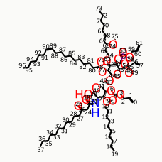 C=CCOC(=O)O[C@H]1[C@H](OCCCCCCCCCC)[C@@H](NC(=O)CC(=O)CCCCCCCCCCC)[C@@H](O)O[C@@H]1CO[C@@H]1O[C@H](COC)[C@@H](OP(=O)(OCC=C)OCC=C)[C@H](OCC[C@@H](CCCCCCC)OC)[C@H]1OC(=O)CCCCCCCCC/C=C\CCCCCC